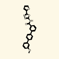 COc1cccc(-c2ccc(-c3cccc(C(=O)Nc4nnc(-c5ccco5)o4)c3)cc2)c1